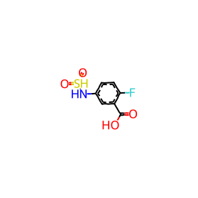 O=C(O)c1cc(N[SH](=O)=O)ccc1F